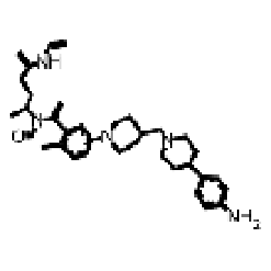 C=CNC(=C)CCC(C)N(C=O)C(=C)c1cc(N2CCC(CN3CCC(c4ccc(N)cc4)CC3)CC2)ccc1C